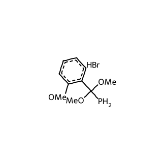 Br.COc1ccccc1C(P)(OC)OC